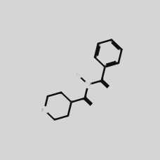 NN(C(=O)c1ccccc1)C(=O)C1CCNCC1